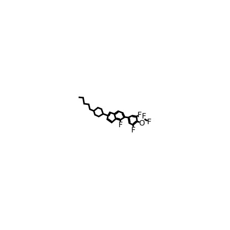 CCCCCC1CCC(c2ccc3c(F)c(-c4cc(F)c(OC(F)F)c(F)c4)ccc3c2)CC1